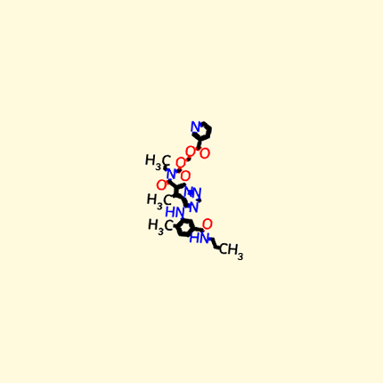 CCCNC(=O)c1ccc(C)c(Nc2ncnn3cc(C(=O)N(CC)C(=O)OCOC(=O)c4cccnc4)c(C)c23)c1